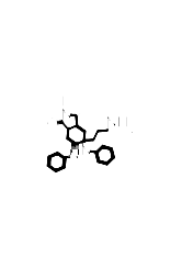 NCCCC1(Nc2ccccc2)C=C2C(=O)NC(=O)C2C=C1Nc1ccccc1